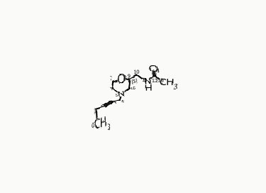 CCC#CCN1CCO[C@@H](CNC(C)=O)C1